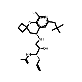 C=CC[C@H](NC(C)=O)[C@H](O)CN[C@H]1CC2(CCC2)Oc2c1cc(CC(C)(C)C)nc2Cl